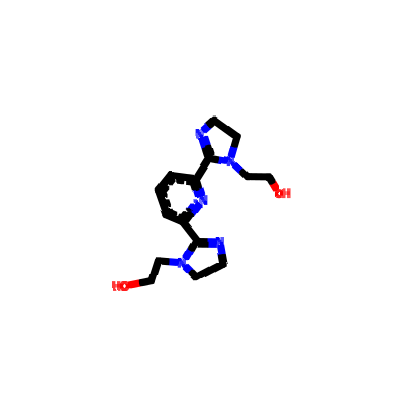 OCCN1CCN=C1c1cccc(C2=NCCN2CCO)n1